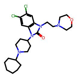 O=c1n(CCN2CCOCC2)c2cc(Cl)c(Cl)cc2n1C1CCN(C2CCCCCC2)CC1